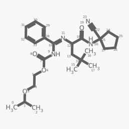 CC(C)OCCOC(=O)N/C(=N\C(CC(C)(C)C)C(=O)NC1(C#N)CCCC1)c1ccccc1